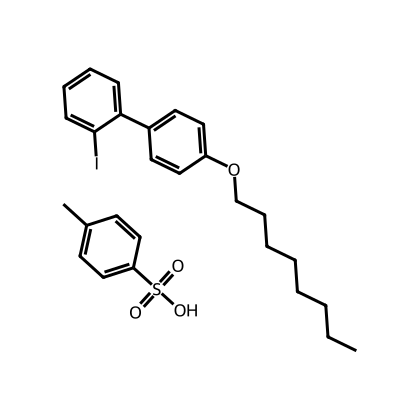 CCCCCCCCOc1ccc(-c2ccccc2I)cc1.Cc1ccc(S(=O)(=O)O)cc1